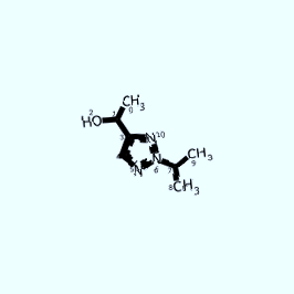 CC(O)c1cnn(C(C)C)n1